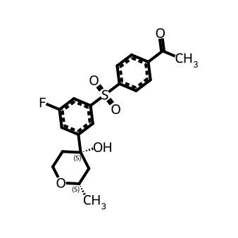 CC(=O)c1ccc(S(=O)(=O)c2cc(F)cc([C@]3(O)CCO[C@@H](C)C3)c2)cc1